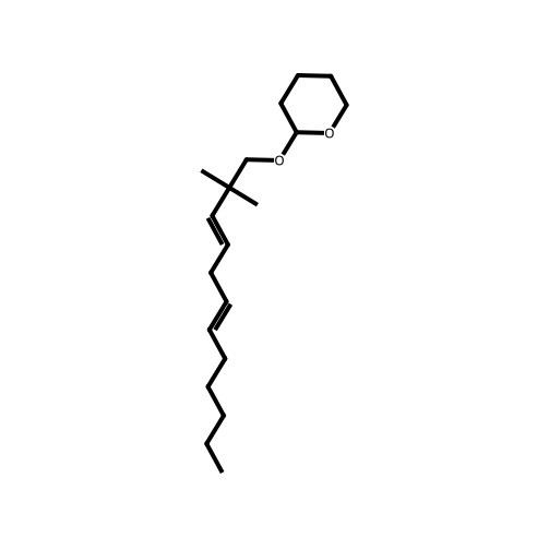 CCCCCC=CCC=CC(C)(C)COC1CCCCO1